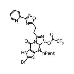 CCCCCN1c2nc(Br)[nH]c2C(=O)N2C(CCc3nc(-c4ccccn4)no3)=NN(OC(=O)C(F)(F)F)C21